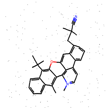 Cc1c2c(c(C(C)(C)C)c3ccccc13)Oc1cc3c(CC(C)(C)C#N)cccc3c3cc[n+](C)c-2c13